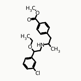 CCOC(CNC(C)Cc1ccc(C(=O)OC)cc1)c1cccc(Cl)c1